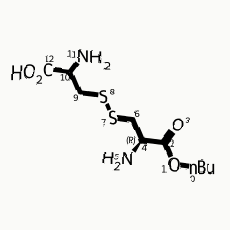 CCCCOC(=O)[C@@H](N)CSSCC(N)C(=O)O